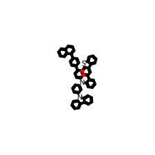 c1cc(N(c2ccc(-c3ccc(-c4cccc5ccccc45)cc3)cc2)c2ccccc2-c2ccc3sc4ccccc4c3c2)cc(-n2c3ccccc3c3ccccc32)c1